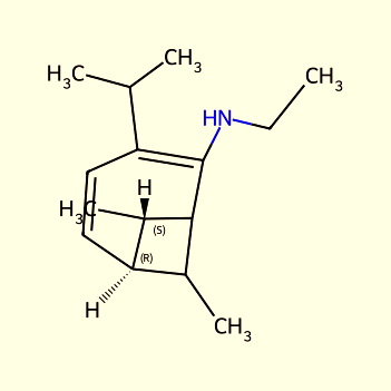 CCNC1=C(C(C)C)C=C[C@@H]2C(C)C1[C@H]2C